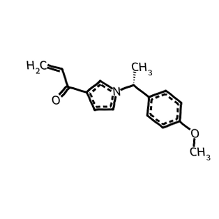 C=CC(=O)c1ccn([C@H](C)c2ccc(OC)cc2)c1